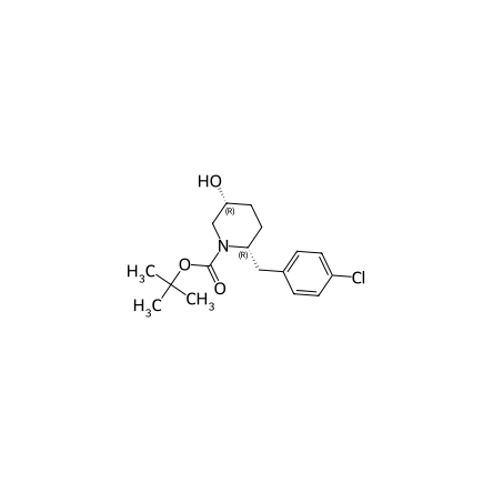 CC(C)(C)OC(=O)N1C[C@H](O)CC[C@@H]1Cc1ccc(Cl)cc1